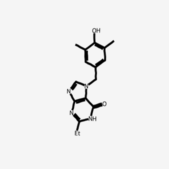 CCc1nc2ncn(Cc3cc(C)c(O)c(C)c3)c2c(=O)[nH]1